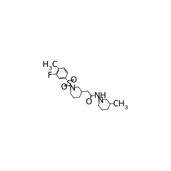 Cc1ccc(S(=O)(=O)N2CCCC(CC(=O)NN3CCCC(C)C3)C2)cc1F